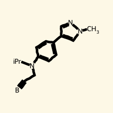 B#CCN(c1ccc(-c2cnn(C)c2)cc1)C(C)C